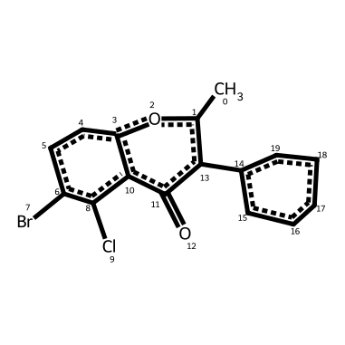 Cc1oc2ccc(Br)c(Cl)c2c(=O)c1-c1ccccc1